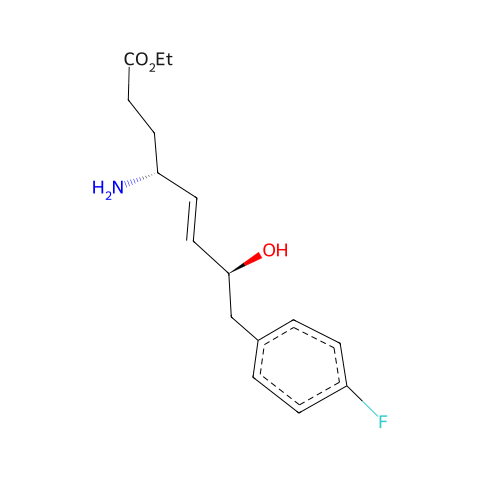 CCOC(=O)CC[C@@H](N)/C=C/[C@@H](O)Cc1ccc(F)cc1